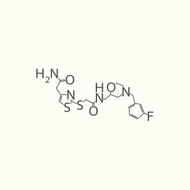 NC(=O)Cc1csc(SCC(=O)NCC2CN(Cc3cccc(F)c3)CCO2)n1